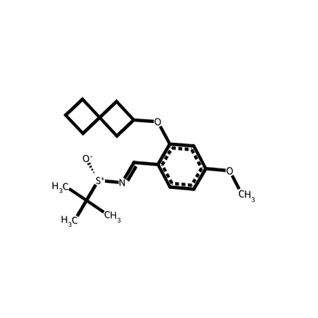 COc1ccc(C=N[S@@+]([O-])C(C)(C)C)c(OC2CC3(CCC3)C2)c1